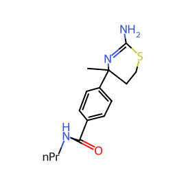 CCCNC(=O)c1ccc(C2(C)CCSC(N)=N2)cc1